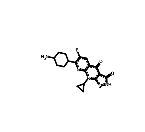 NC1CCC(c2nc3c(cc2F)c(=O)c2c(=O)[nH]sc2n3C2CC2)CC1